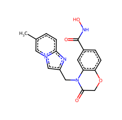 Cc1ccc2nc(CN3C(=O)COc4ccc(C(=O)NO)cc43)cn2c1